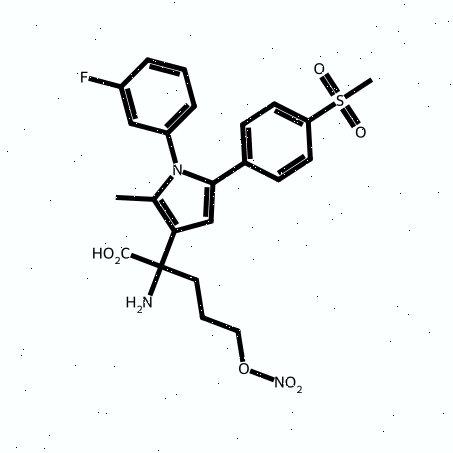 Cc1c(C(N)(CCCO[N+](=O)[O-])C(=O)O)cc(-c2ccc(S(C)(=O)=O)cc2)n1-c1cccc(F)c1